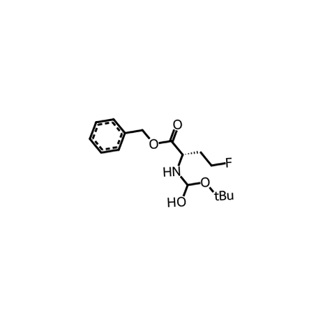 CC(C)(C)OC(O)N[C@@H](CCF)C(=O)OCc1ccccc1